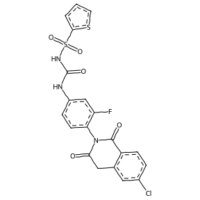 O=C(Nc1ccc(N2C(=O)Cc3cc(Cl)ccc3C2=O)c(F)c1)NS(=O)(=O)c1cccs1